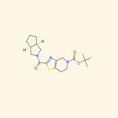 CC(C)(C)OC(=O)N1CCc2sc(C(=O)N3C[C@H]4CCC[C@H]4C3)nc2C1